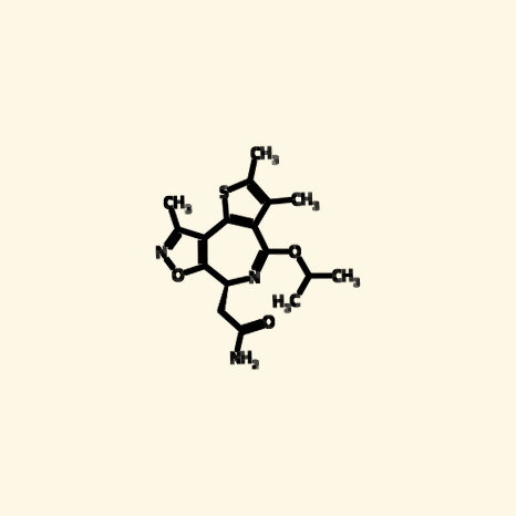 Cc1noc2c1-c1sc(C)c(C)c1C(OC(C)C)=N[C@H]2CC(N)=O